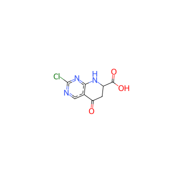 O=C1CC(C(=O)O)Nc2nc(Cl)ncc21